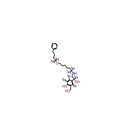 [2H]c1c([2H])c(C([2H])(O)CNC([2H])([2H])CCCCCOC([2H])([2H])CCCc2ccccc2)c([2H])c(CO)c1O